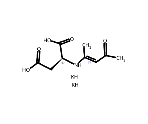 CC(=O)/C=C(\C)N[C@@H](CC(=O)O)C(=O)O.[KH].[KH]